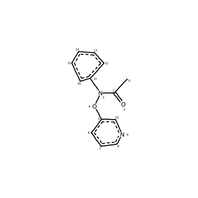 CC(=O)N(Oc1cccnc1)c1ccccc1